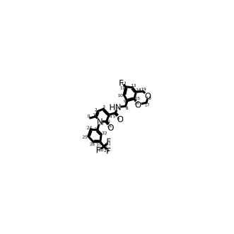 Cc1ccc(C(=O)NCc2cc(F)cc3c2OCOC3)c(=O)n1-c1cccc(C(F)(F)F)c1